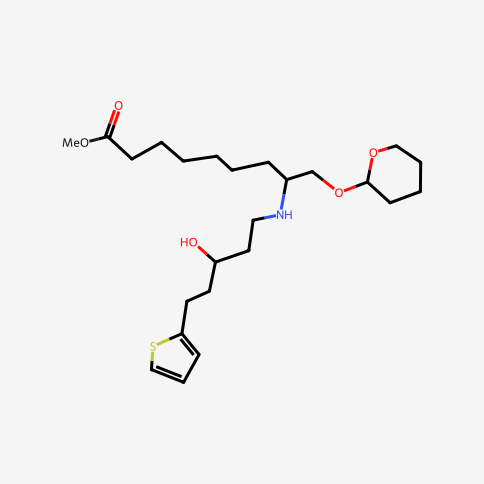 COC(=O)CCCCCCC(COC1CCCCO1)NCCC(O)CCc1cccs1